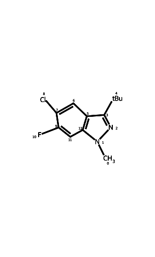 Cn1nc(C(C)(C)C)c2cc(Cl)c(F)cc21